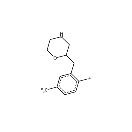 Fc1ccc(C(F)(F)F)cc1CC1CNCCO1